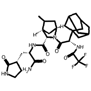 CC1C[C@@H]2C[C@H]1[C@@H](C(=O)N[C@@H](C[C@@H]1CCNC1=O)C(N)=O)N2C(=O)[C@@H](NC(=O)C(F)(F)F)C12CC3CC(CC(C3)C1)C2